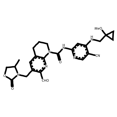 COC1(CNc2cc(NC(=O)N3CCCc4cc(CN5C(=O)OCC5C)c(C=O)nc43)ncc2C#N)CC1